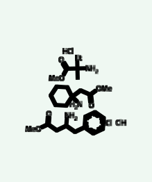 CCC(C)(N)C(=O)OC.COC(=O)CC(N)Cc1ccccc1.COC(=O)CC1(N)CCCCC1.Cl.Cl.Cl